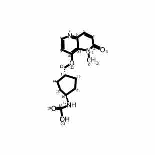 Cn1c(=O)ccc2nccc(OC[C@H]3CC[C@H](NC(=O)O)CC3)c21